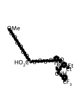 CCN(CC)c1ccc(NC(=O)c2cccc(COCCOCCOCCOCCN(CCOCCOCCOCCOCCOCCOCCOC)C(=O)O)c2)c(-c2cc(C(=O)NCc3cccc(C(F)(F)F)c3)ccn2)c1